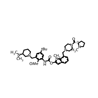 COc1c(CN2CCCC(N(C)C)C2)cc(C(C)(C)C)cc1NC(=O)Oc1cc2cccc(CN3CCN(C(=O)[C@@H]4CCCN4C)CC3)c2n1C